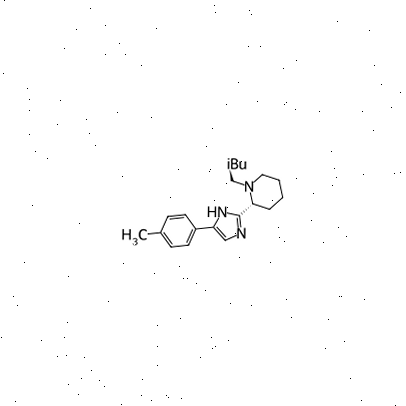 CC[C@H](C)CN1CCCC[C@@H]1c1ncc(-c2ccc(C)cc2)[nH]1